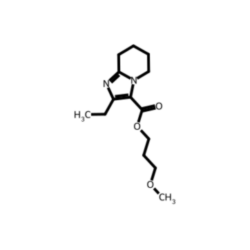 CCc1nc2n(c1C(=O)OCCCOC)CCCC2